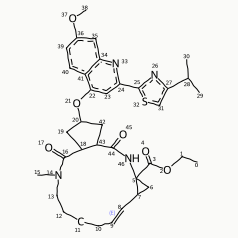 CCOC(=O)C12CC1/C=C/CCCCN(C)C(=O)C1CC(Oc3cc(-c4nc(C(C)C)cs4)nc4cc(OC)ccc34)CC1C(=O)N2